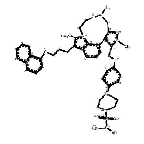 CCOC(=O)c1c(CCCOc2cccc3ccccc23)c2cccc3c2n1CCCN(C)Cc1nn(C)c(COc2ccc(N4CCN(S(=O)(=O)N(C)C)CC4)cc2)c1-3